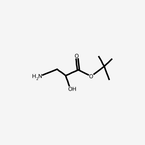 CC(C)(C)OC(=O)C(O)CN